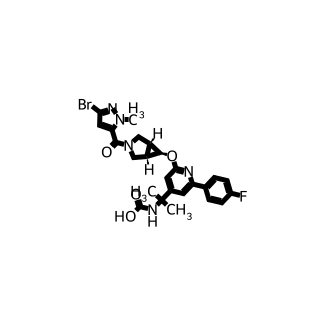 Cn1nc(Br)cc1C(=O)N1C[C@@H]2[C@H](C1)[C@@H]2Oc1cc(C(C)(C)NC(=O)O)cc(-c2ccc(F)cc2)n1